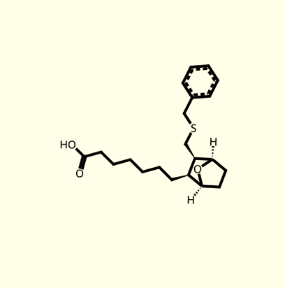 O=C(O)CCCCCC[C@H]1[C@@H](CSCc2ccccc2)[C@H]2CC[C@@H]1O2